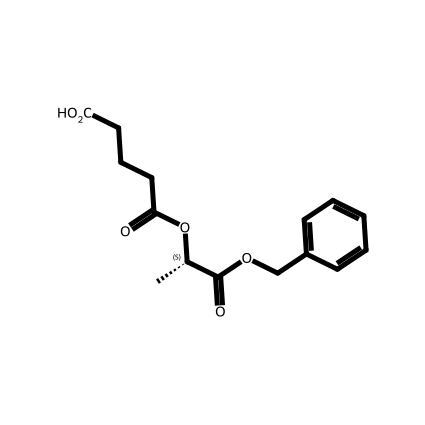 C[C@H](OC(=O)CCCC(=O)O)C(=O)OCc1ccccc1